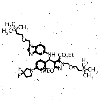 CCOC(=O)c1c(C(Nc2ccc3c(c2)ncn3COCC[Si](C)(C)C)c2ccc(N3CCC(F)(F)C3)cc2F)c(OC)nn1COCC[Si](C)(C)C